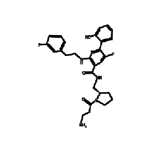 N#Cc1ccccc1-c1nc(NCCc2cccc(F)c2)c(C(=O)NC[C@H]2CCCN2C(=O)CCN)cc1F